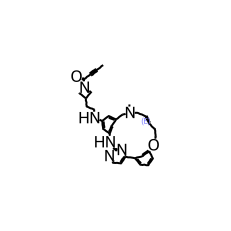 CC#CC(=O)N1CC(CCNc2cc3cc(c2)Nc2nccc(n2)-c2cccc(c2)OCC/C=C/CN(C)C3)C1